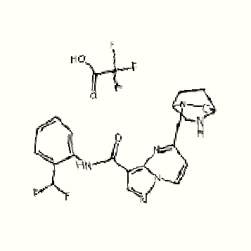 O=C(Nc1ccccc1C(F)F)c1cnn2ccc(N3CC4CCC3CN4)nc12.O=C(O)C(F)(F)F